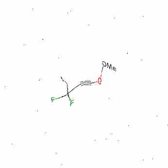 COOC#CC(F)(F)I